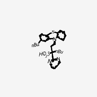 CCCCc1ccc2c(c1)N(CCC(CCCC)(c1ncccn1)S(=O)(=O)O)c1ccccc1S2